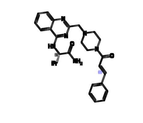 CC(C)[C@H](Nc1nc(CN2CCN(C(=O)/C=C/c3ccccc3)CC2)nc2ccccc12)C(N)=O